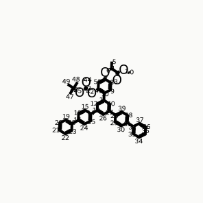 COC(=O)C(C)Oc1ccc(-c2cc(-c3ccc(-c4ccccc4)cc3)cc(-c3ccc(-c4ccccc4)cc3)c2)c(OC(=O)OC(C)(C)C)c1